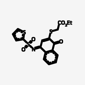 CCOC(=O)CSC1=CC(=NS(=O)(=O)c2cccs2)c2ccccc2C1=O